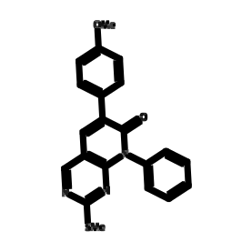 COc1ccc(-c2cc3cnc(SC)nc3n(-c3ccccc3)c2=O)cc1